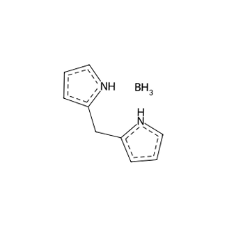 B.c1c[nH]c(Cc2ccc[nH]2)c1